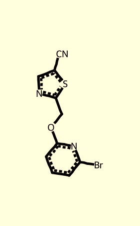 N#Cc1cnc(COc2cccc(Br)n2)s1